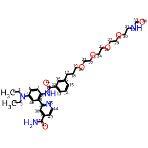 CCN(CC)c1ccc(NC(=O)c2cccc(CCCOCCOCCOCCOCCNC=O)c2)c(-c2cc(C(N)=O)ccn2)c1